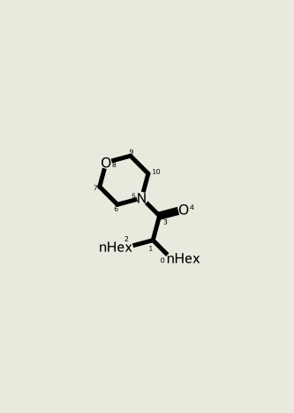 CCCCCCC(CCCCCC)C(=O)N1CCOCC1